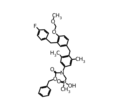 COCOc1ccc(Cc2c(C)cc(N(CP(C)(=O)O)C(=O)OCc3ccccc3)cc2C)cc1Cc1ccc(F)cc1